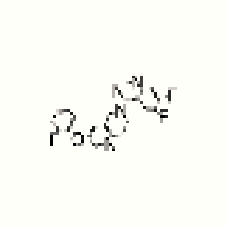 Fc1cc2ncnc(N3CCc4ncc(Oc5ccccc5F)cc4C3)c2cc1F